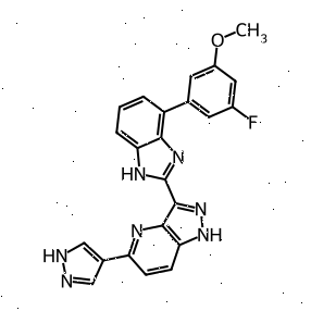 COc1cc(F)cc(-c2cccc3[nH]c(-c4n[nH]c5ccc(-c6cn[nH]c6)nc45)nc23)c1